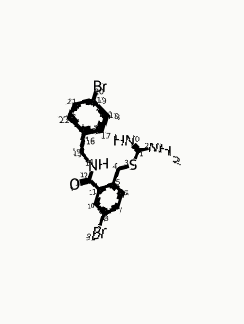 N=C(N)SCc1ccc(Br)cc1C(=O)NCc1ccc(Br)cc1